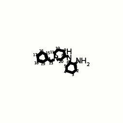 NC1CCCCC1NC1CCCN(Cc2ccccc2)C1